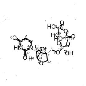 O=c1ccn([C@@H]2O[C@@]3(COP(=O)(O)OP(=O)(O)OP(=O)(O)O)CO[C@@H]2[C@@H]3S)c(=O)[nH]1